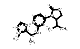 CC(C)C1COC(=O)N1c1ccnc(N[C@H](C)c2ncnn2C)n1